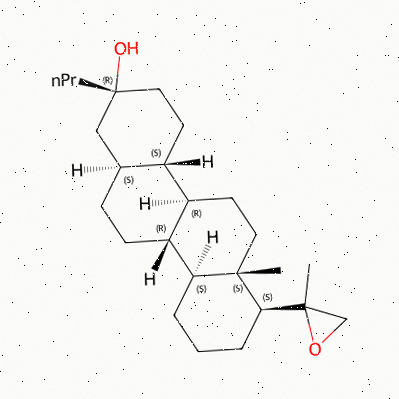 CCC[C@@]1(O)CC[C@H]2[C@@H](CC[C@@H]3[C@@H]2CC[C@]2(C)[C@@H](C4(C)CO4)CCC[C@@H]32)C1